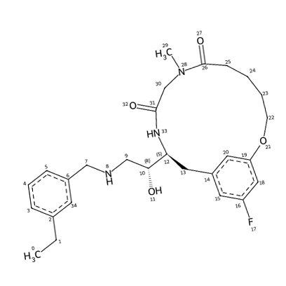 CCc1cccc(CNC[C@@H](O)[C@@H]2Cc3cc(F)cc(c3)OCCCCC(=O)N(C)CC(=O)N2)c1